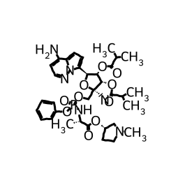 CC(C)C(=O)O[C@H]1[C@H](c2ccc3c(N)ccnn23)O[C@](C#N)(COP(=O)(N[C@@H](C)C(=O)O[C@H]2CCN(C)C2)Oc2ccccc2)[C@H]1OC(=O)C(C)C